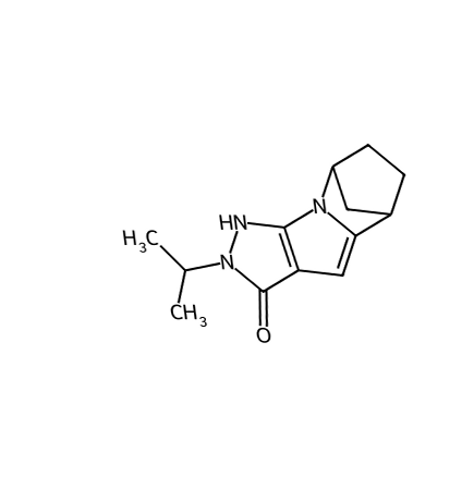 CC(C)n1[nH]c2c(cc3n2C2CCC3C2)c1=O